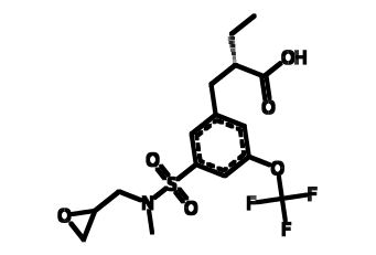 CC[C@@H](Cc1cc(OC(F)(F)F)cc(S(=O)(=O)N(C)CC2CO2)c1)C(=O)O